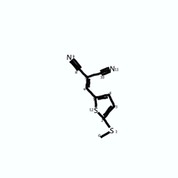 CSc1ccc(C=C(C#N)C#N)s1